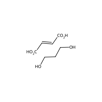 O=C(O)/C=C/C(=O)O.OCCCO